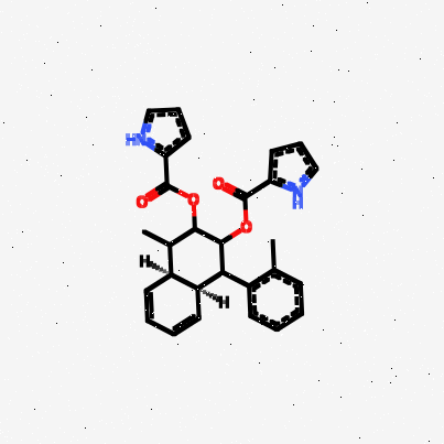 Cc1ccccc1C1C(OC(=O)c2ccc[nH]2)C(OC(=O)c2ccc[nH]2)C(C)[C@@H]2C=CC=C[C@H]12